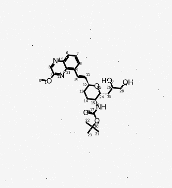 COc1cnc2cccc(C=C[C@@H]3CC[C@@H](NC(=O)OC(C)(C)C)[C@@H](CC(O)CO)O3)c2n1